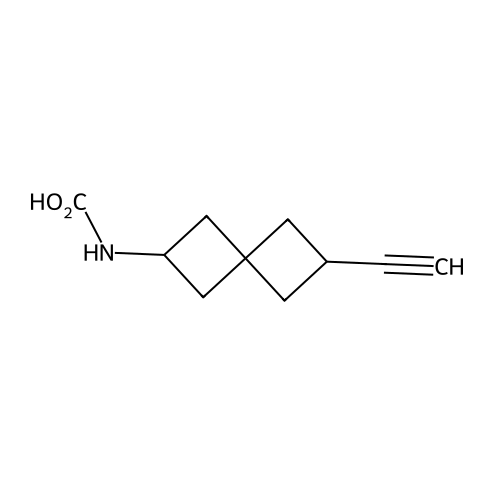 C#CC1CC2(C1)CC(NC(=O)O)C2